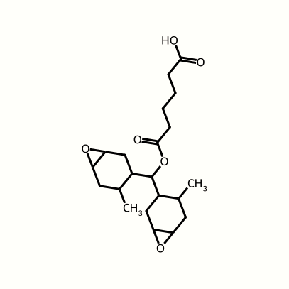 CC1CC2OC2CC1C(OC(=O)CCCCC(=O)O)C1CC2OC2CC1C